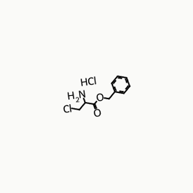 Cl.NC(CCl)C(=O)OCc1ccccc1